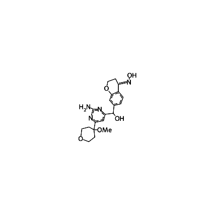 COC1(c2cc(C(O)c3ccc4c(c3)OCCC4=NO)nc(N)n2)CCOCC1